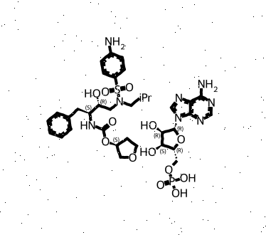 CC(C)CN(C[C@@H](O)[C@H](Cc1ccccc1)NC(=O)O[C@H]1CCOC1)S(=O)(=O)c1ccc(N)cc1.Nc1ncnc2c1ncn2[C@@H]1O[C@H](COP(=O)(O)O)[C@@H](O)[C@H]1O